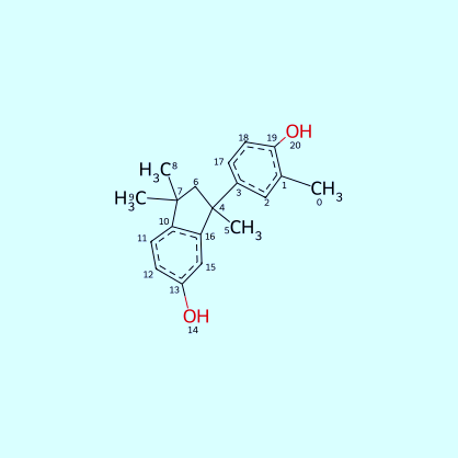 Cc1cc(C2(C)CC(C)(C)c3ccc(O)cc32)ccc1O